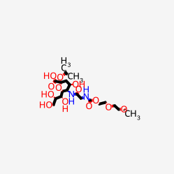 COCCOCCOC(=O)NCC(=O)N[C@H]1C([C@H](O)[C@H](O)CO)O[C@@](OC(C)C)(C(=O)O)C[C@H]1O